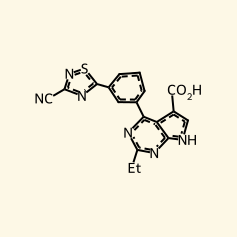 CCc1nc(-c2cccc(-c3nc(C#N)ns3)c2)c2c(C(=O)O)c[nH]c2n1